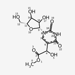 COC(=O)C(O)c1cn([C@@H]2O[C@H](CO)C(O)C2O)c(=O)[nH]c1=O